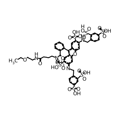 CCOCCNC(=O)CCCN(C)C(=O)c1ccccc1-c1c2cc(S(=O)(=O)O)/c(=N/Cc3ccc(S(=O)(=O)O)cc3S(=O)(=O)O)cc-2oc2cc(NCc3ccc(S(=O)(=O)O)cc3S(=O)(=O)O)c(S(=O)(=O)O)cc12